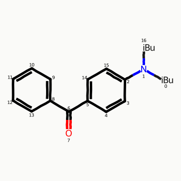 CCC(C)N(c1ccc(C(=O)c2ccccc2)cc1)C(C)CC